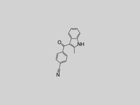 Cc1[nH]c2ccccc2c1C(=O)c1ccc(C#N)cc1